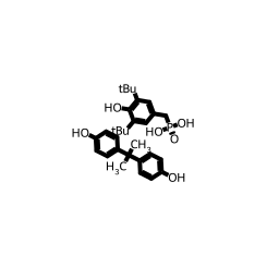 CC(C)(C)c1cc(CP(=O)(O)O)cc(C(C)(C)C)c1O.CC(C)(c1ccc(O)cc1)c1ccc(O)cc1